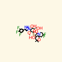 CO[C@@H]1[C@@H](n2cc(-c3cc(F)c(F)c(F)c3)nn2)[C@@H](O)[C@@H](CO)O[C@H]1S[C@H](C(=O)N1CCC(F)(F)CC1)[C@@]1(O)CCOC(C)(C)C1